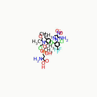 CCc1cccc(C)c1N(C(=O)CCl)C(C)COC.CP(=O)(O)CCC(N)C(=O)O.Nc1c([N+](=O)[O-])cnn1-c1c(Cl)cc(C(F)(F)F)cc1Cl